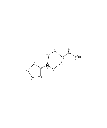 CC(C)(C)NC1CCN(C2CCCC2)CC1